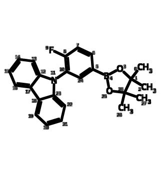 CC1(C)OB(c2ccc(F)c(-n3c4ccccc4c4ccccc43)c2)OC1(C)C